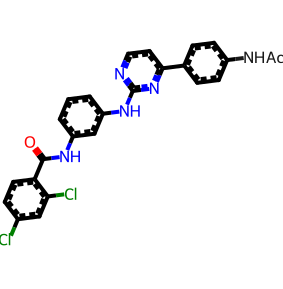 CC(=O)Nc1ccc(-c2ccnc(Nc3cccc(NC(=O)c4ccc(Cl)cc4Cl)c3)n2)cc1